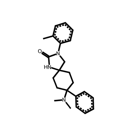 Cc1ccccc1N1CC2(CCC(c3ccccc3)(N(C)C)CC2)NC1=O